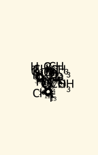 COc1ccc(OCc2c(Cl)cc(F)cc2[C@H](C)NC[C@H](CC(=O)O)O[Si](C)(C)C(C)(C)C)cc1